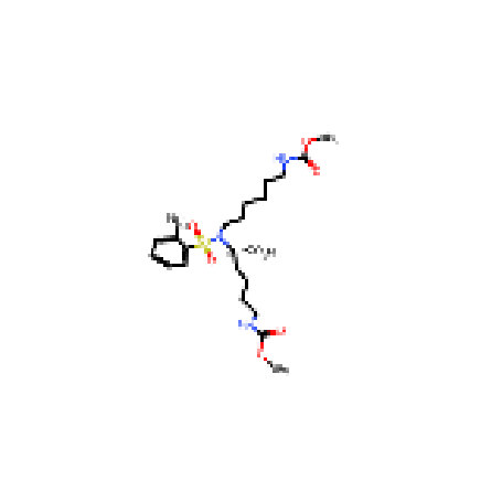 CC(C)(C)OC(=O)NCCCCCCN([C@@H](CCCCNC(=O)OC(C)(C)C)C(=O)O)S(=O)(=O)c1ccccc1[N+](=O)[O-]